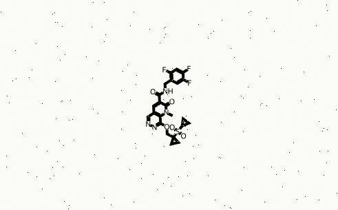 Cn1c(=O)c(C(=O)NCc2cc(F)c(F)cc2F)cc2cnnc(OCC3(S(=O)(=O)C4CC4)CC3)c21